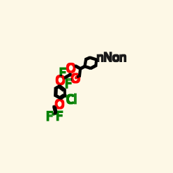 CCCCCCCCCC1CCC(C2COC(C(F)(F)Oc3ccc(OC=C(F)F)c(Cl)c3)OC2)CC1